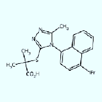 Cc1nnc(SC(C)(C)C(=O)O)n1-c1ccc(C(C)C)c2ccccc12